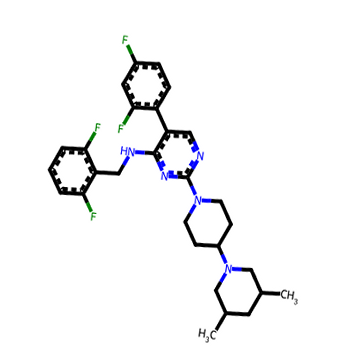 CC1CC(C)CN(C2CCN(c3ncc(-c4ccc(F)cc4F)c(NCc4c(F)cccc4F)n3)CC2)C1